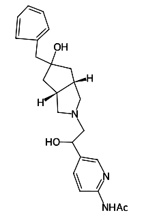 CC(=O)Nc1ccc(C(O)CN2C[C@@H]3CC(O)(Cc4ccccc4)C[C@@H]3C2)cn1